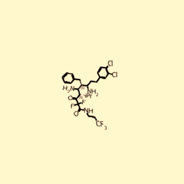 CC(C)[C@H](C(=O)C(F)(F)C(=O)NCCC(F)(F)F)C(N)[C@@H](Cc1ccccc1)C(N)CCc1ccc(Cl)c(Cl)c1